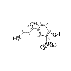 CCCC(C)c1ccc(O)c([N+](=O)[O-])c1